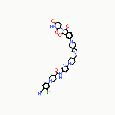 N#Cc1ccc(N2CCC(C(=O)Nc3ccc(N4CCC(CN5CC6(CCN(c7ccc8c(c7)C(=O)N(C7CCC(=O)NC7=O)C8=O)CC6)C5)CC4)nc3)CC2)cc1Cl